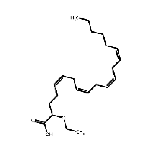 CCCCC/C=C\C/C=C\C/C=C\C/C=C\CCC(OCC)C(=O)O